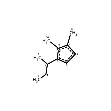 CCC(C)c1ccc(C)n1C